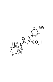 CC(C)c1ccc(C=C(CC(=O)N2C[C@H]3CCCC[C@H]3C2)C(=O)O)cc1